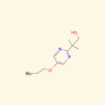 CCC(C)CCOc1cnc(C(C)(C)CO)nc1